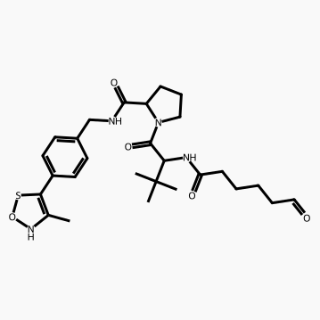 CC1=C(c2ccc(CNC(=O)C3CCCN3C(=O)C(NC(=O)CCCCC=O)C(C)(C)C)cc2)SON1